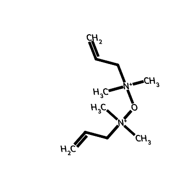 C=CC[N+](C)(C)O[N+](C)(C)CC=C